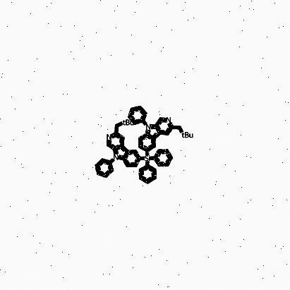 CC(C)(C)Cc1cc2c3cc([Si](c4ccccc4)(c4ccccc4)c4ccc5c(c4)c4cc(CC(C)(C)C)ncc4n5-c4ccccc4)ccc3n(-c3ccccc3)c2cn1